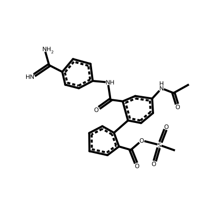 CC(=O)Nc1ccc(-c2ccccc2C(=O)OS(C)(=O)=O)c(C(=O)Nc2ccc(C(=N)N)cc2)c1